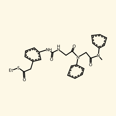 CCSC(=O)Cc1cccc(NC(=O)NCC(=O)N(CC(=O)N(C)c2ccccc2)c2ccccc2)c1